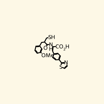 COc1cccc(CC(CS)C(=O)NC(Cc2ccc(-c3nccs3)cc2)C(=O)O)c1